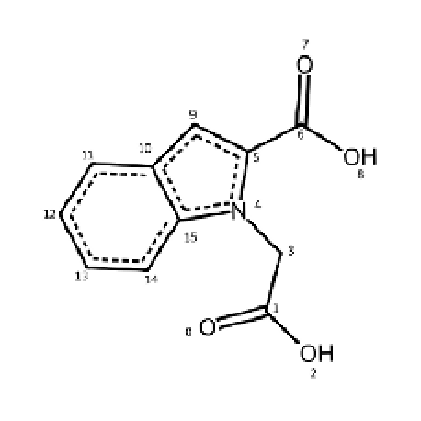 O=C(O)Cn1c(C(=O)O)cc2ccccc21